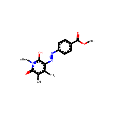 CCCCCCn1c(O)c(/N=N/c2ccc(C(=O)OCCCC)cc2)c(C)c(C#N)c1=O